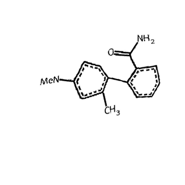 CNc1ccc(-c2ccccc2C(N)=O)c(C)c1